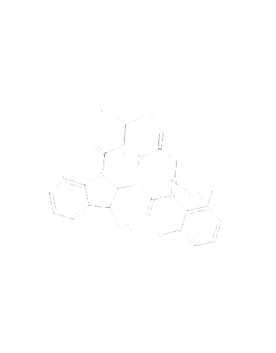 CN[C@@H](C)C(=O)N[C@H](C(=O)N1c2ncccc2C(C)C1OC(=O)Nc1c(F)cccc1F)C(C)C